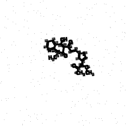 CON(C(C)=O)c1csc(/C=C/C(=O)c2c(O)c3cccnc3n(C)c2=O)c1